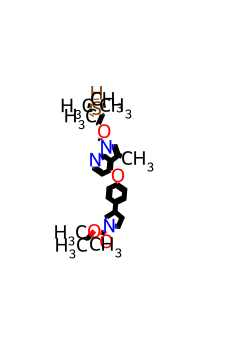 Cc1cn(COCC[SH](C)(C)(C)C)c2nccc(Oc3ccc(C4CCN(C(=O)OC(C)(C)C)C4)cc3)c12